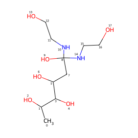 CC(O)C(O)C(O)CC(O)(NCCO)NCCO